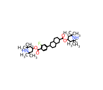 CC1(C)CC(OC(=O)c2ccc(C3CCC4CC(C(=O)OC5CC(C)(C)NC(C)(C)C5)CCC4C3)cc2F)CC(C)(C)N1